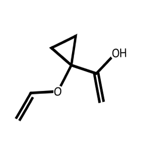 C=COC1(C(=C)O)CC1